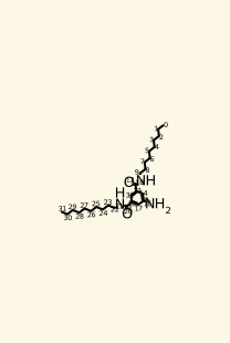 CCCCCCCCCCNC(=O)c1cc(N)cc(C(=O)NCCCCCCCCCC)c1